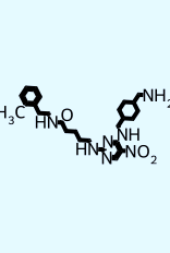 Cc1ccccc1CCNC(=O)CCCCNc1ncc([N+](=O)[O-])c(NCC2CCC(CN)CC2)n1